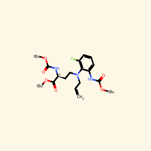 C=CCN(CC[C@H](NC(=O)OC(C)(C)C)C(=O)OC(C)(C)C)c1c(F)cccc1NC(=O)OC(C)(C)C